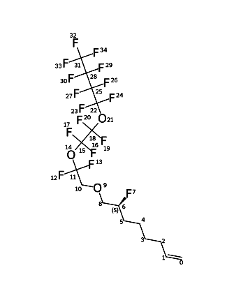 C=CCCCC[C@H](F)COCC(F)(F)OC(F)(F)C(F)(F)OC(F)(F)C(F)(F)C(F)(F)C(F)(F)F